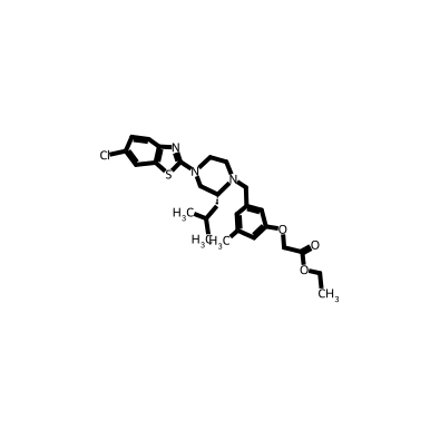 CCOC(=O)COc1cc(C)cc(CN2CCN(c3nc4ccc(Cl)cc4s3)C[C@H]2CC(C)C)c1